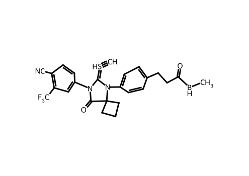 C#[SH]=C1N(c2ccc(C#N)c(C(F)(F)F)c2)C(=O)C2(CCC2)N1c1ccc(CCC(=O)BC)cc1